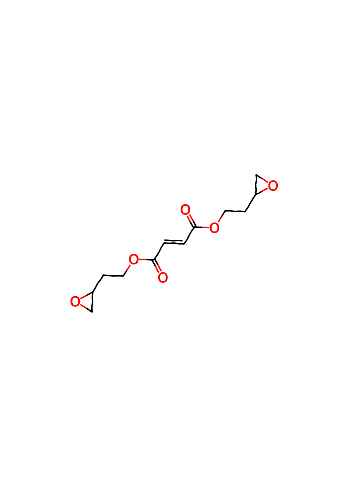 O=C(/C=C/C(=O)OCCC1CO1)OCCC1CO1